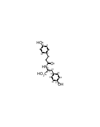 O=C(CCc1ccc(O)cc1)N[C@@H](Cc1ccc(O)cc1)C(=O)O